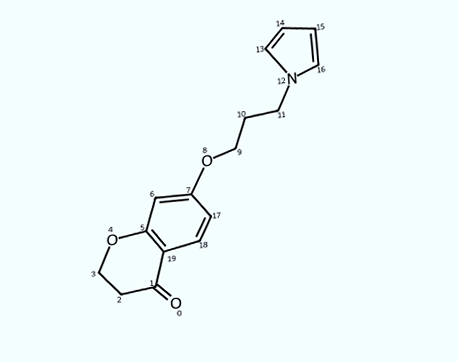 O=C1CCOc2cc(OCCCn3cccc3)ccc21